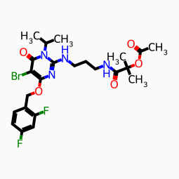 CC(=O)OC(C)(C)C(=O)NCCCNc1nc(OCc2ccc(F)cc2F)c(Br)c(=O)n1C(C)C